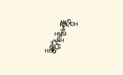 O=C(O)Cn1nnnc1SCC(=O)NCCNc1cccc2c(S(=O)(=O)O)cccc12